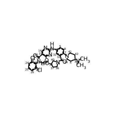 CN(C)C1CCN(c2ccc(Nc3ncc4c(n3)OCN(c3c(Cl)cccc3Cl)C4=O)cc2C(=O)N2CCC(O)C2)CC1